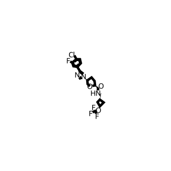 O=C(NC[C@H]1C[C@H](OC(F)(F)F)C1)[C@@H]1CC[C@@H](n2cnc(-c3ccc(Cl)c(F)c3)c2)CO1